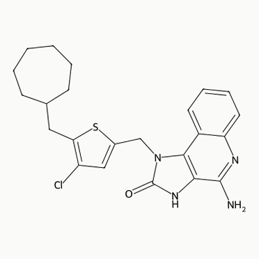 Nc1nc2ccccc2c2c1[nH]c(=O)n2Cc1cc(Cl)c(CC2CCCCCC2)s1